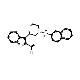 NC(=O)c1sc2ccccc2c1C1CN(S(=O)(=O)c2ccc3ccccc3c2)CCO1